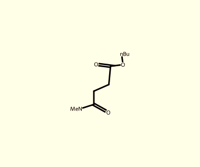 CCCCOC(=O)CCC(=O)NC